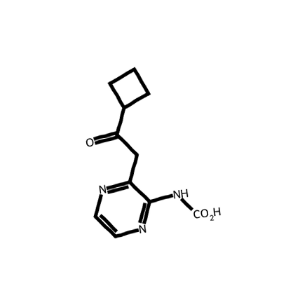 O=C(O)Nc1nccnc1CC(=O)C1CCC1